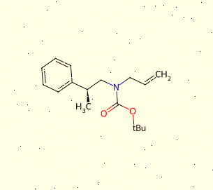 C=CCN(C[C@@H](C)c1ccccc1)C(=O)OC(C)(C)C